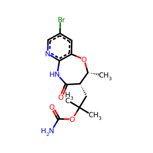 C[C@H]1Oc2cc(Br)cnc2NC(=O)[C@H]1CC(C)(C)OC(N)=O